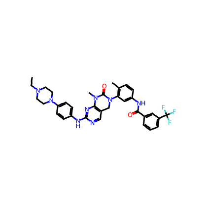 CCN1CCN(c2ccc(Nc3ncc4c(n3)N(C)C(=O)N(c3cc(NC(=O)c5cccc(C(F)(F)F)c5)ccc3C)C4)cc2)CC1